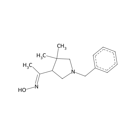 CC(=NO)C1CN(Cc2ccccc2)CC1(C)C